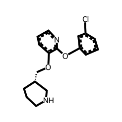 Clc1cccc(Oc2ncccc2OC[C@H]2CCCNC2)c1